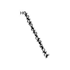 CC(C)OCCOCCOCCOCCOCCOCCOCCOCCOCCOCCO